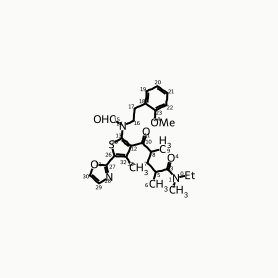 CCN(C)C(=O)C(C)CC(C)C(=O)c1c(N(C=O)CCc2ccccc2OC)sc(-c2ncco2)c1C